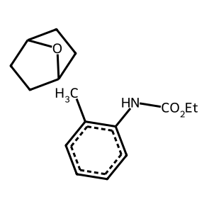 C1CC2CCC1O2.CCOC(=O)Nc1ccccc1C